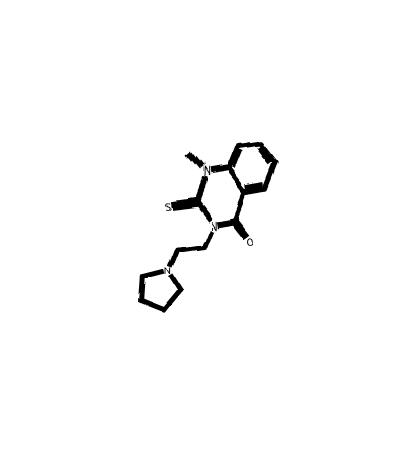 Cn1c(=S)n(CCN2CCCC2)c(=O)c2ccccc21